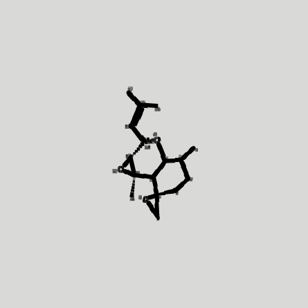 COC1C(C)CC[C@]2(CO2)C1[C@@]1(C)O[C@@H]1CC=C(C)C